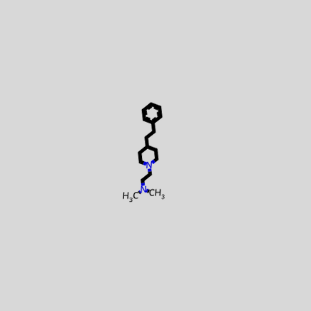 CN(C)CCN1CCC(CCc2ccccc2)CC1